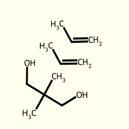 C=CC.C=CC.CC(C)(CO)CO